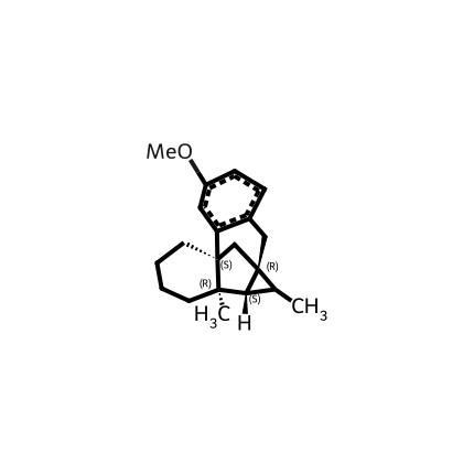 COc1ccc2c(c1)[C@]13CCCC[C@]1(C)[C@H]1C(C)[C@@]1(C2)C3